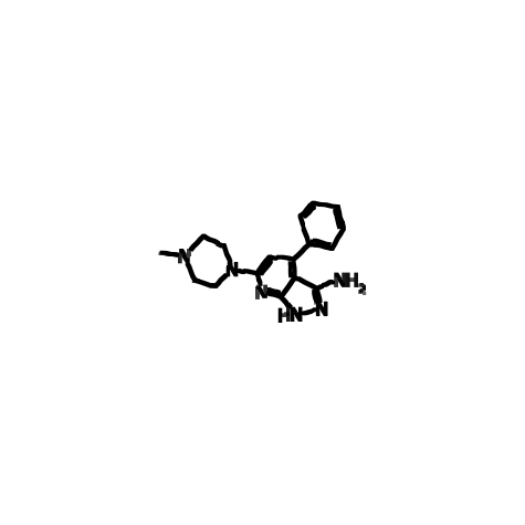 CN1CCN(c2cc(-c3ccccc3)c3c(N)n[nH]c3n2)CC1